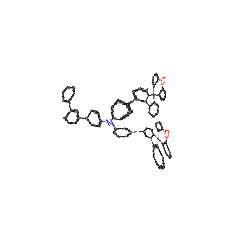 c1ccc(-c2cccc(-c3ccc(N(c4ccc(-c5cccc6c5-c5ccccc5C65c6ccccc6Oc6ccccc65)cc4)c4cccc(-c5ccc6c(c5)-c5ccccc5C65c6ccccc6Oc6ccccc65)c4)cc3)c2)cc1